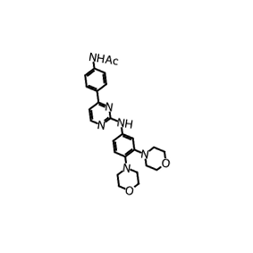 CC(=O)Nc1ccc(-c2ccnc(Nc3ccc(N4CCOCC4)c(N4CCOCC4)c3)n2)cc1